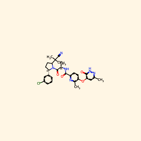 Cc1cc(Oc2ccc(C(=O)N[C@H](C)C(=O)N3C(C(C)(C)C#N)CC[C@H]3c3cccc(Cl)c3)nc2C)c(=O)[nH]n1